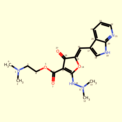 CN(C)CCOC(=O)C1=C(NN(C)C)O/C(=C\c2c[nH]c3ncccc23)C1=O